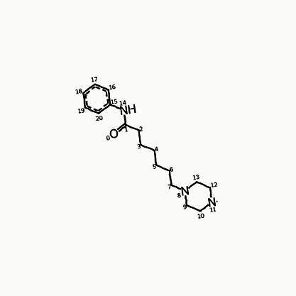 O=C(CCCCCCN1CC[N]CC1)Nc1ccccc1